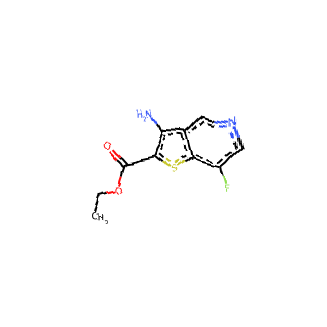 CCOC(=O)c1sc2c(F)cncc2c1N